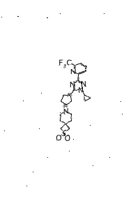 O=S1(=O)CC2(CCN([C@@H]3CC[C@@H](c4nc(-c5cccc(C(F)(F)F)n5)nn4C4CC4)C3)CC2)C1